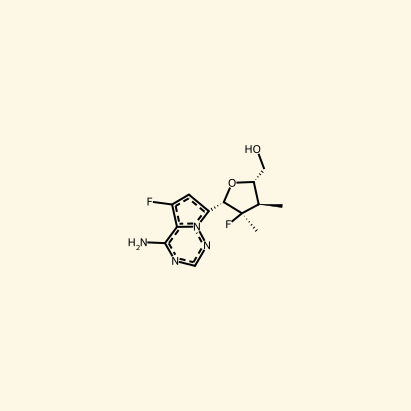 C[C@@H]1[C@@H](CO)O[C@@H](c2cc(F)c3c(N)ncnn23)[C@]1(C)F